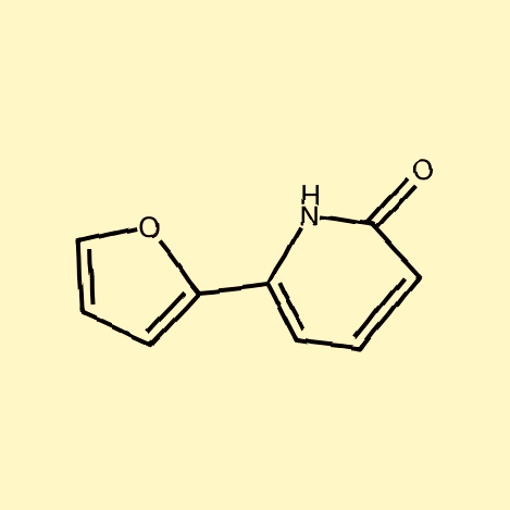 O=c1cccc(-c2ccco2)[nH]1